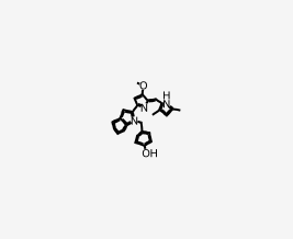 COC1=CC(c2cc3ccccc3n2Cc2ccc(O)cc2)=N/C1=C\c1[nH]c(C)cc1C